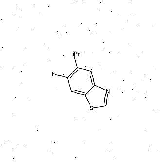 CC(C)c1cc2ncsc2cc1F